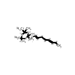 CC1(C)SC(C)(C)SC(C)(C)S1.[CH2]C=CCCC=CCC